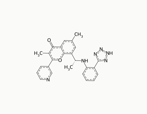 Cc1cc([C@@H](C)Nc2ccccc2-c2nn[nH]n2)c2oc(-c3cccnc3)c(C)c(=O)c2c1